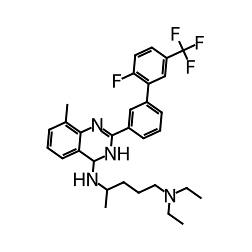 CCN(CC)CCCC(C)NC1NC(c2cccc(-c3cc(C(F)(F)F)ccc3F)c2)=Nc2c(C)cccc21